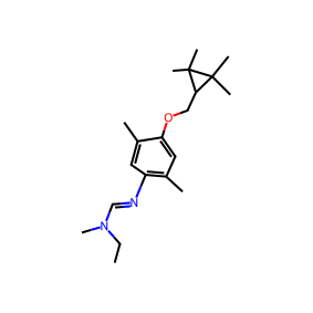 CCN(C)/C=N/c1cc(C)c(OCC2C(C)(C)C2(C)C)cc1C